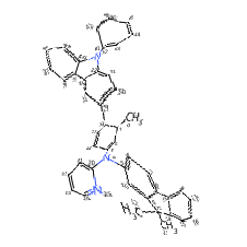 CC1C=C(N(c2ccc3c(c2)C(C)(C)c2ccccc2-3)c2ccccn2)C=CC1c1ccc2c(c1)c1ccccc1n2C1=CC=CCC1